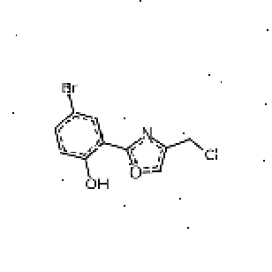 Oc1ccc(Br)cc1-c1nc(CCl)co1